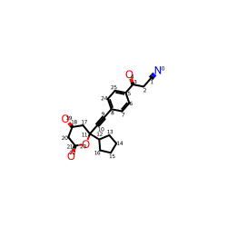 N#CCC(=O)c1ccc(C#CC2(C3CCCC3)CC(=O)CC(=O)O2)cc1